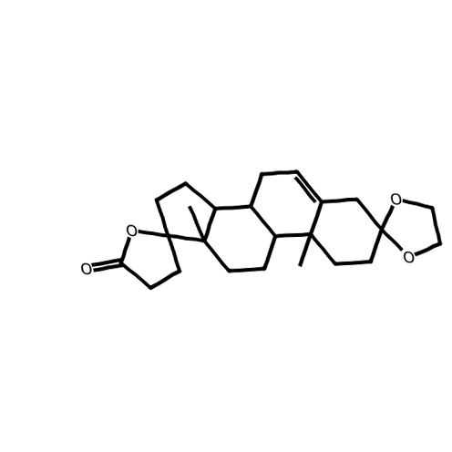 CC12CCC3(CC1=CCC1C2CCC2(C)C1CCC21CCC(=O)O1)OCCO3